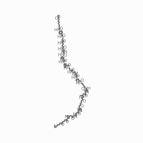 COC(=O)CCCCCCC(=O)Nc1ccc(C(=O)NCCC(=O)NCCC(=O)Nc2cn(C)c(C(=O)Nc3cc(C(=O)Nc4cc(C(=O)NCCC(=O)Nc5cn(C)c(C(=O)Nc6cc(C(=O)NCCCC(=O)Nc7cn(C)c(C(=O)Cc8cc(C(=O)CCCC(=O)Cc9cn(C)c(C(=O)Cc%10cn(C)c(C(=O)Cc%11cc(C(=O)CCCC(=O)CCCCN(C)C)n(C)c%11)n%10)n9)n(C)c8)n7)n(C)c6)n5)n(C)c4)n(C)c3)n2)cc1